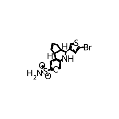 NS(=O)(=O)c1ccc2c(c1)[C@H]1C=CC[C@H]1[C@@H](c1csc(Br)c1)N2